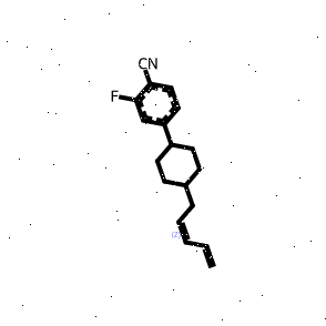 C=C/C=C\CC1CCC(c2ccc(C#N)c(F)c2)CC1